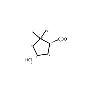 C[N+]1(C)CCC[C@H]1C(=O)[O-].Cl